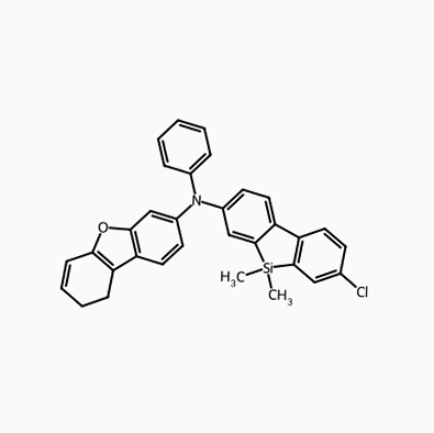 C[Si]1(C)c2cc(Cl)ccc2-c2ccc(N(c3ccccc3)c3ccc4c5c(oc4c3)C=CCC5)cc21